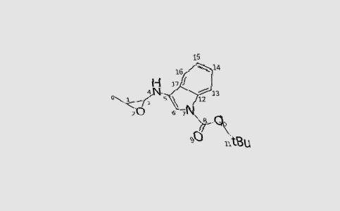 CC1OC1Nc1cn(C(=O)OC(C)(C)C)c2ccccc12